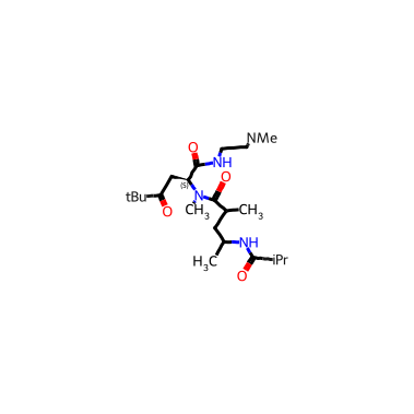 CNCCNC(=O)[C@H](CC(=O)C(C)(C)C)N(C)C(=O)C(C)CC(C)NC(=O)C(C)C